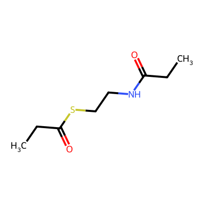 CCC(=O)NCCSC(=O)CC